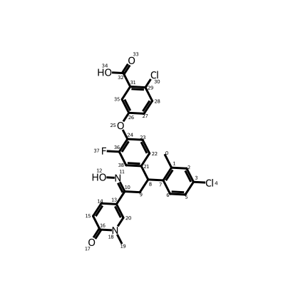 Cc1cc(Cl)ccc1C(CC(=NO)c1ccc(=O)n(C)c1)c1ccc(Oc2ccc(Cl)c(C(=O)O)c2)c(F)c1